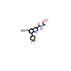 COc1cc(C2=CCC(F)(F)CC2)c2ncc(C(=O)NC(C)CO)cc2c1